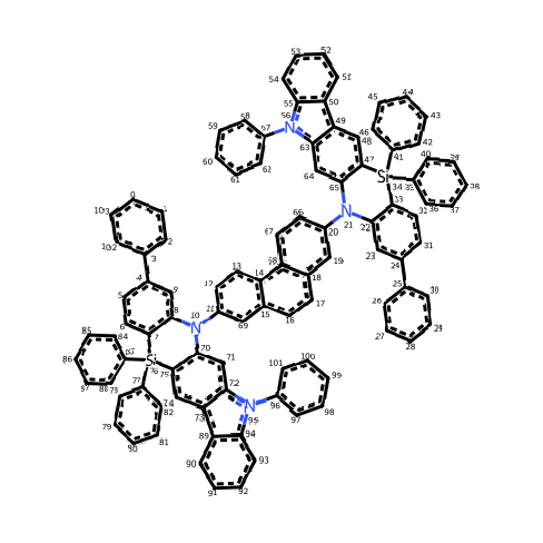 c1ccc(-c2ccc3c(c2)N(c2ccc4c(ccc5cc(N6c7cc(-c8ccccc8)ccc7[Si](c7ccccc7)(c7ccccc7)c7cc8c9ccccc9n(-c9ccccc9)c8cc76)ccc54)c2)c2cc4c(cc2[Si]3(c2ccccc2)c2ccccc2)c2ccccc2n4-c2ccccc2)cc1